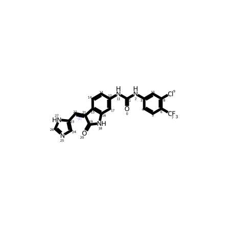 O=C(Nc1ccc(C(F)(F)F)c(Cl)c1)Nc1ccc2c(c1)NC(=O)/C2=C\c1cnc[nH]1